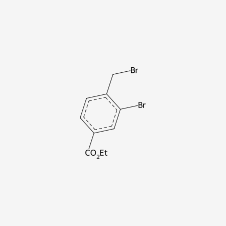 CCOC(=O)c1ccc(CBr)c(Br)c1